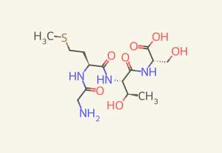 CSCC[C@H](NC(=O)CN)C(=O)N[C@H](C(=O)N[C@@H](CO)C(=O)O)[C@@H](C)O